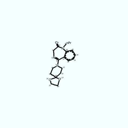 CCCN1C(=O)CN=C(N2CCC3(CC2)OCCO3)c2ccccc21